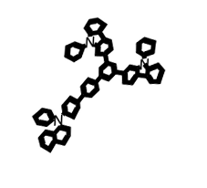 c1ccc(N(c2ccc(-c3ccc(-c4cc(-c5ccc6c7ccccc7n(-c7ccccc7)c6c5)cc(-c5ccc6c7ccccc7n(-c7ccccc7)c6c5)c4)cc3)cc2)c2cccc3ccccc23)cc1